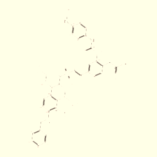 CCOC(CS(=O)(=O)C=Cc1ccc(CC(=O)O)c(OC(=O)Nc2ccc(NC)cc2)c1)C(OCC)c1ccc(OCc2ccccc2)c(O)c1